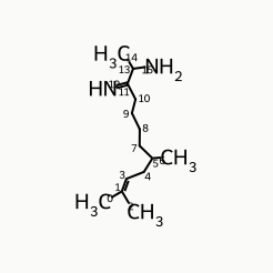 CC(C)=CCC(C)CCCCC(=N)C(C)N